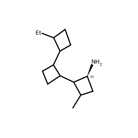 CCC1CCC1C1CCC1C1C(C)C[C@@H]1N